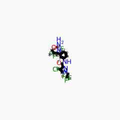 C[C@]1(c2cc(NC(=O)c3nn(CC(F)(F)F)cc3Cl)ccc2F)N=C(N)OCC1(F)F